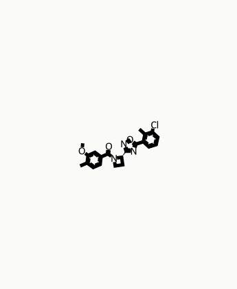 COc1cc(C(=O)N2CC[C@H]2c2noc(-c3cccc(Cl)c3C)n2)ccc1C